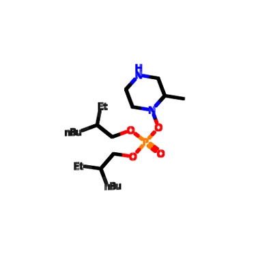 CCCCC(CC)COP(=O)(OCC(CC)CCCC)ON1CCNCC1C